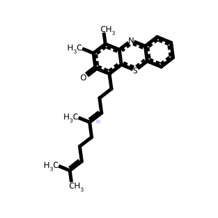 CC(C)=CCC/C(C)=C/CCc1c2sc3ccccc3nc-2c(C)c(C)c1=O